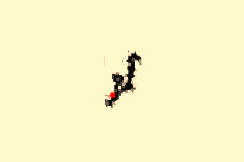 Cc1nccnc1N1CC2(CC(c3nnc4n3-c3ccc(Cl)cc3CN(C35CC(C(F)(F)F)(C3)C5)C4)C2)C1